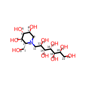 OC[C@@H]1[C@@H](O)[C@H](O)[C@@H](O)CN1C[C@@H](O)[C@@H](O)[C@H](O)[C@H](O)[C@@H](O)CO